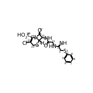 N=C(CSc1ccccc1)NCC(=O)NC1C(=O)N2C(C(=O)O)=C(Cl)CS[C@@H]12